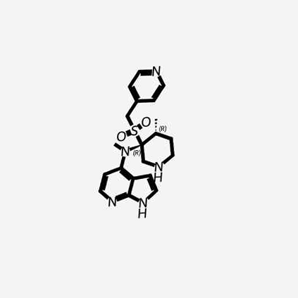 C[C@@H]1CCNC[C@]1(N(C)c1ccnc2[nH]ccc12)S(=O)(=O)Cc1ccncc1